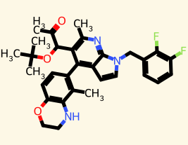 CC(=O)C(OC(C)(C)C)c1c(C)nc2c(ccn2Cc2cccc(F)c2F)c1-c1ccc2c(c1C)NCCO2